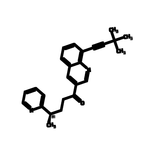 C[C@H](CCC(=O)c1cnc2c(C#CC(C)(C)C)cccc2c1)c1ccccn1